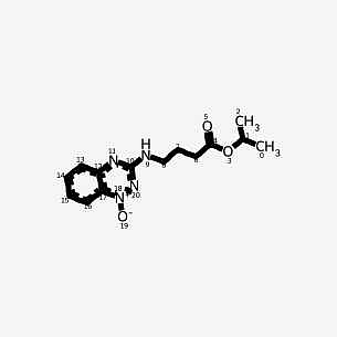 CC(C)OC(=O)CCCNc1nc2ccccc2[n+]([O-])n1